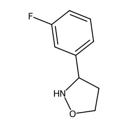 Fc1cccc(C2CCON2)c1